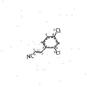 N#C/C=C/c1ccc(Cl)cc1Cl